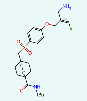 CC(C)(C)NC(=O)C12CCC(CS(=O)(=O)c3ccc(OC/C(=C\F)CN)cc3)(CC1)CC2